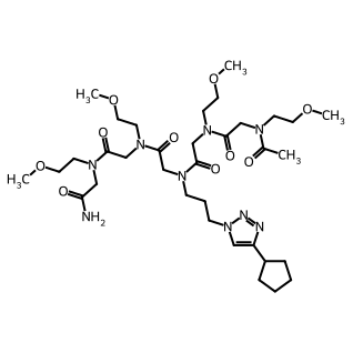 COCCN(CC(=O)N(CCOC)CC(=O)N(CCCn1cc(C2CCCC2)nn1)CC(=O)N(CCOC)CC(=O)N(CCOC)CC(N)=O)C(C)=O